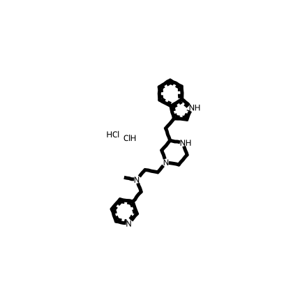 CN(CCN1CCNC(Cc2c[nH]c3ccccc23)C1)Cc1cccnc1.Cl.Cl